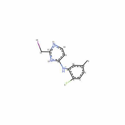 Cc1ccc(F)c(Nc2ccnc(CI)n2)c1